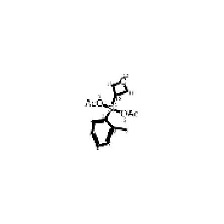 CC(=O)O[Si](OC(C)=O)(c1ccccc1C)C1COC1